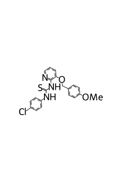 COc1ccc(COc2cccnc2NC(=S)Nc2ccc(Cl)cc2)cc1